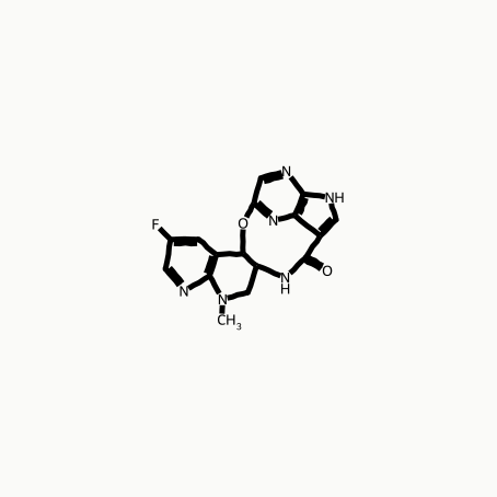 CN1CC2NC(=O)c3c[nH]c4ncc(nc34)OC2c2cc(F)cnc21